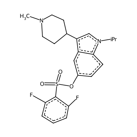 CC(C)n1cc(C2CCN(C)CC2)c2cc(OS(=O)(=O)c3c(F)cccc3F)ccc21